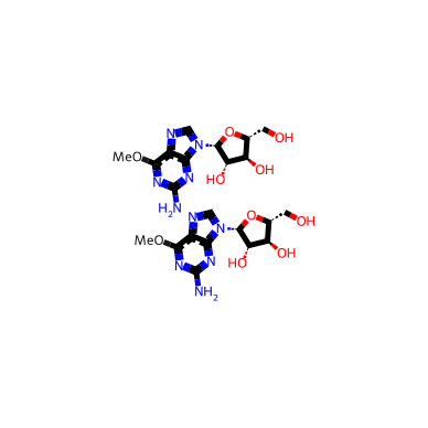 COc1nc(N)nc2c1ncn2[C@@H]1O[C@H](CO)[C@@H](O)[C@@H]1O.COc1nc(N)nc2c1ncn2[C@@H]1O[C@H](CO)[C@@H](O)[C@@H]1O